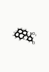 O=[N+]([O-])c1cc(Cl)ccc1-c1ccc2ccc3cccc4ccc1c2c34